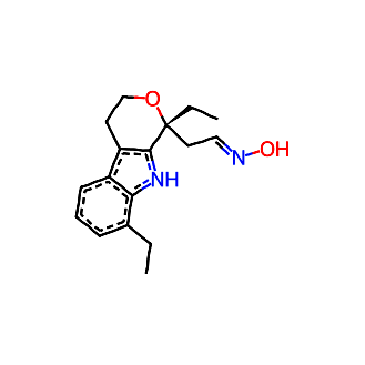 CCc1cccc2c3c([nH]c12)[C@@](CC)(CC=NO)OCC3